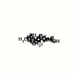 Cc1nc(N)c2c(n1)OC(C)(C)C(c1ccc([C@H]3CC[C@H](CNC(=O)CO)CC3)c(Cl)c1)=N2